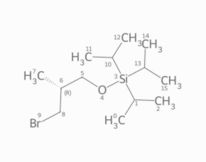 CC(C)[Si](OC[C@@H](C)CBr)(C(C)C)C(C)C